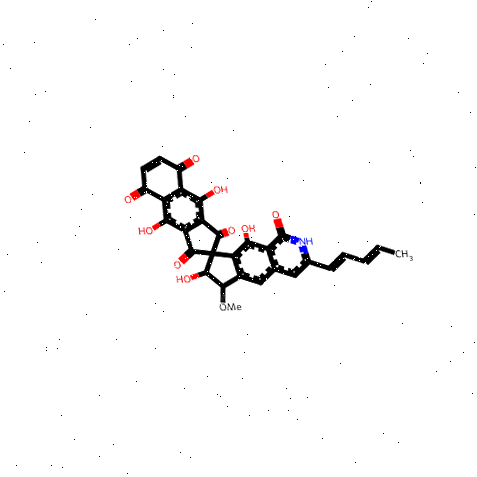 C/C=C/C=C/c1cc2cc3c(c(O)c2c(=O)[nH]1)C1(C(=O)c2c(O)c4c(c(O)c2C1=O)C(=O)C=CC4=O)C(O)C3OC